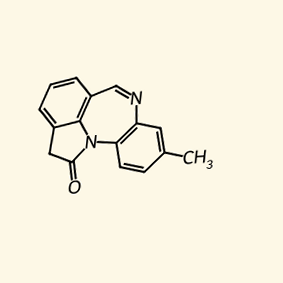 Cc1ccc2c(c1)N=Cc1cccc3c1N2C(=O)C3